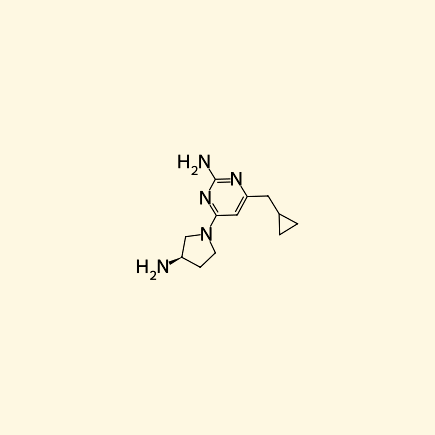 Nc1nc(CC2CC2)cc(N2CC[C@@H](N)C2)n1